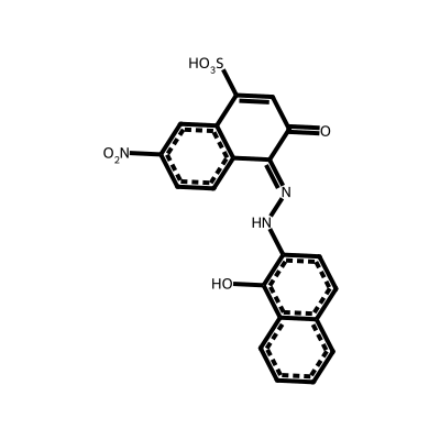 O=C1C=C(S(=O)(=O)O)c2cc([N+](=O)[O-])ccc2C1=NNc1ccc2ccccc2c1O